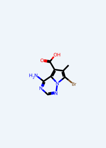 Cc1c(C(=O)O)c2c(N)ncnn2c1Br